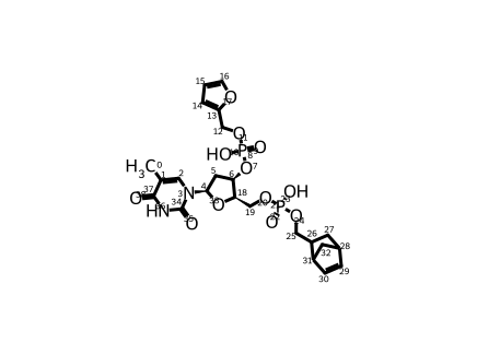 Cc1cn([C@H]2C[C@@H](OP(=O)(O)OCc3ccco3)[C@@H](COP(=O)(O)OCC3CC4C=CC3C4)O2)c(=O)[nH]c1=O